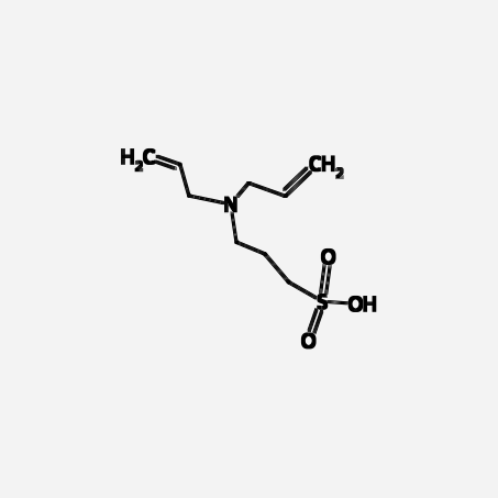 C=CCN(CC=C)CCCS(=O)(=O)O